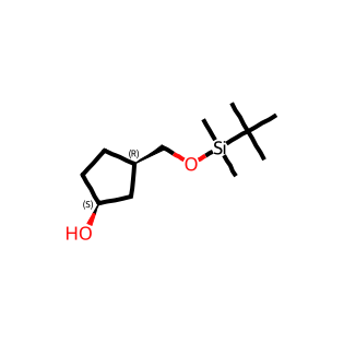 CC(C)(C)[Si](C)(C)OC[C@@H]1CC[C@H](O)C1